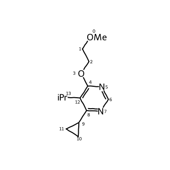 COCCOc1ncnc(C2CC2)c1C(C)C